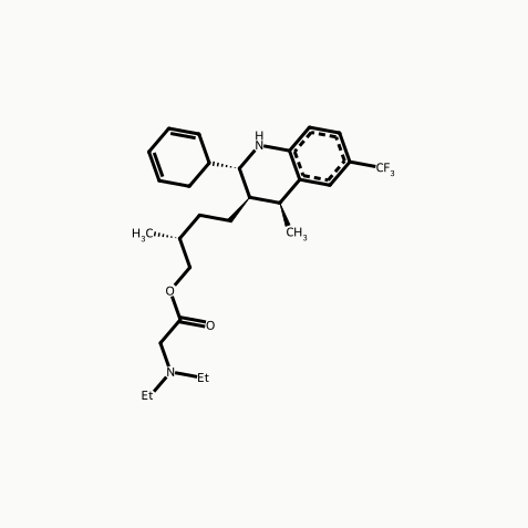 CCN(CC)CC(=O)OC[C@H](C)CC[C@@H]1[C@H](C)c2cc(C(F)(F)F)ccc2N[C@H]1C1C=CC=CC1